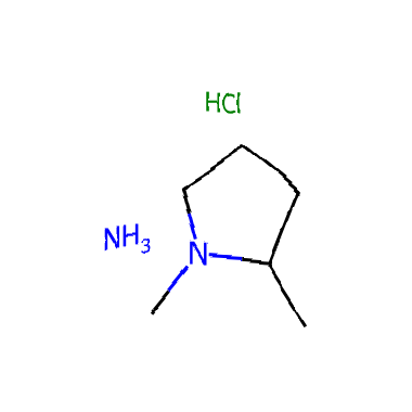 CC1CCCN1C.Cl.N